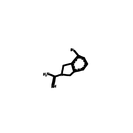 N=C(N)N1Cc2cccc(Br)c2C1